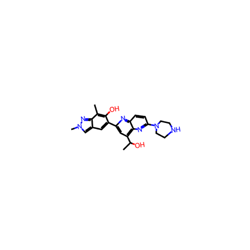 Cc1c(O)c(-c2cc(C(C)O)c3nc(N4CCNCC4)ccc3n2)cc2cn(C)nc12